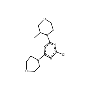 CC1COCCN1c1cc(N2CCOCC2)nc(Cl)n1